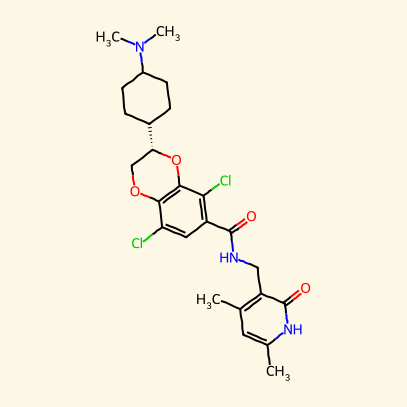 Cc1cc(C)c(CNC(=O)c2cc(Cl)c3c(c2Cl)O[C@@H](C2CCC(N(C)C)CC2)CO3)c(=O)[nH]1